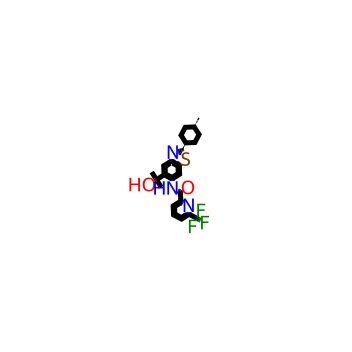 CC(C)(O)c1cc2nc([C@H]3CC[C@@H](C)CC3)sc2cc1NC(=O)c1cccc(C(F)(F)F)n1